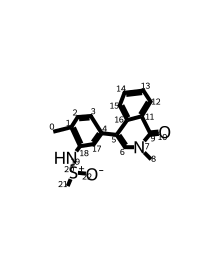 Cc1ccc(-c2cn(C)c(=O)c3ccccc23)cc1N[S+](C)[O-]